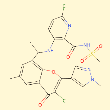 Cc1cc(C(C)Nc2ccc(Cl)nc2C(=O)NS(C)(=O)=O)c2oc(-c3cnn(C)c3)c(Cl)c(=O)c2c1